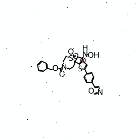 O=C(CC1(c2ccc(-c3ccc(-c4cnco4)cc3)s2)CCN(C(=O)OCc2ccccc2)CCS1(=O)=O)NO